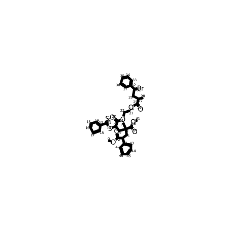 COC(=O)C(CC(C)(CC(SC(=S)c1ccccc1)C(=O)OCCOC(=O)C(C)CC(Br)c1ccccc1)C(=O)OC)c1ccccc1